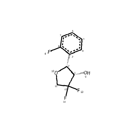 O[C@H]1[C@@H](c2ccccc2F)OCC1(F)F